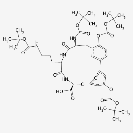 CC(C)(C)OC(=O)NCCC[C@@H]1NC(=O)[C@@H](NC(=O)OC(C)(C)C)Cc2cc(ccc2OC(=O)OC(C)(C)C)-c2cc(cc(OC(=O)OC(C)(C)C)c2)C[C@@H](C(=O)O)NC1=O